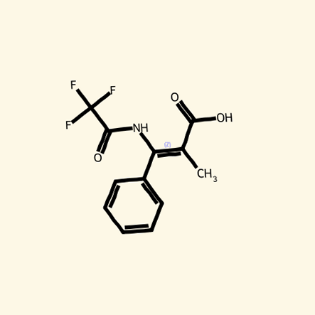 C/C(C(=O)O)=C(/NC(=O)C(F)(F)F)c1ccccc1